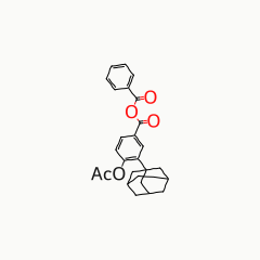 CC(=O)Oc1ccc(C(=O)OC(=O)c2ccccc2)cc1C12CC3CC(CC(C3)C1)C2